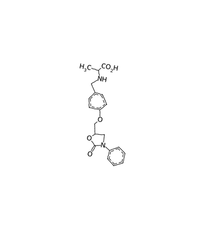 CC(NCc1ccc(OCC2CN(c3ccccc3)C(=O)O2)cc1)C(=O)O